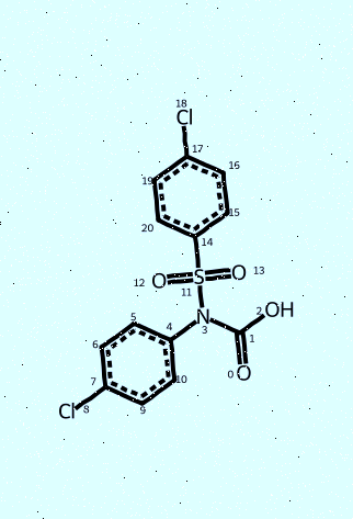 O=C(O)N(c1ccc(Cl)cc1)S(=O)(=O)c1ccc(Cl)cc1